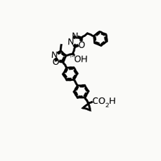 Cc1noc(-c2ccc(-c3ccc(C4(C(=O)O)CC4)cc3)cc2)c1[C@H](O)c1nnc(Cc2ccccc2)o1